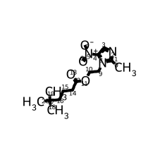 Cc1ncc([N+](=O)[O-])n1CCOC(=O)CCCC(C)(C)C